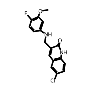 COc1cc(NCc2cc3cc(Cl)ccc3[nH]c2=O)ccc1F